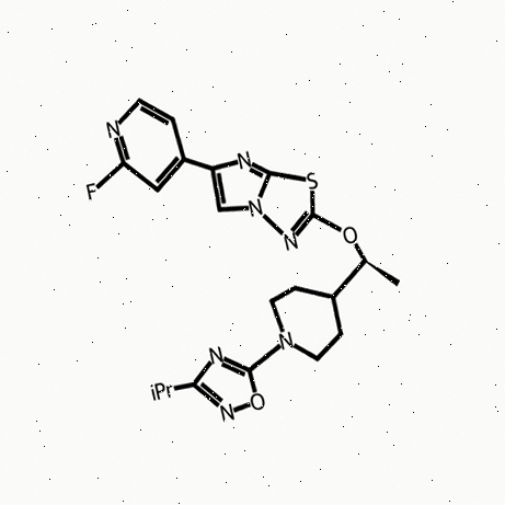 CC(C)c1noc(N2CCC([C@H](C)Oc3nn4cc(-c5ccnc(F)c5)nc4s3)CC2)n1